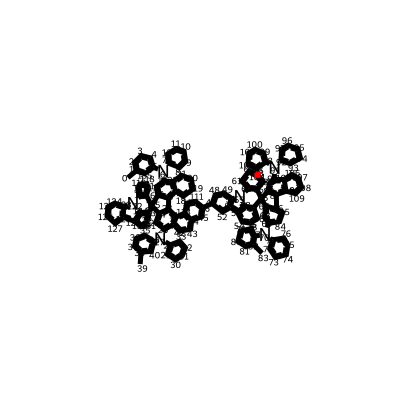 Cc1cccc(N(c2ccccc2)c2cc3c(c4ccccc24)-c2c(cc(N(c4ccccc4)c4cccc(C)c4)c4ccc5cc(-c6ccc7c(c6)c6cccc8c6n7-c6ccccc6C86c7cc(N(c8ccccc8)c8ccccc8C)ccc7-c7c6cc(N(c6ccccc6)c6ccccc6C)c6ccccc76)ccc5c24)C32c3ccccc3-n3c4ccccc4c4cccc2c43)c1